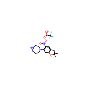 CC1(C)Cc2cc([N+](=O)[O-])c(N3CCCNCC3)cc2O1.O=C(O)C(F)(F)F